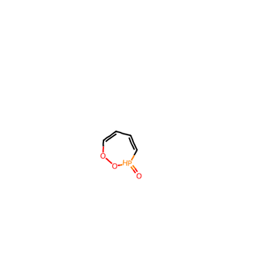 O=[PH]1C=CC=COO1